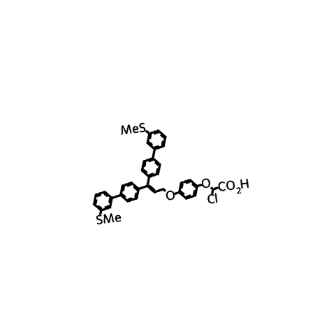 CSc1cccc(-c2ccc(C(=CCOc3ccc(OC(Cl)C(=O)O)cc3)c3ccc(-c4cccc(SC)c4)cc3)cc2)c1